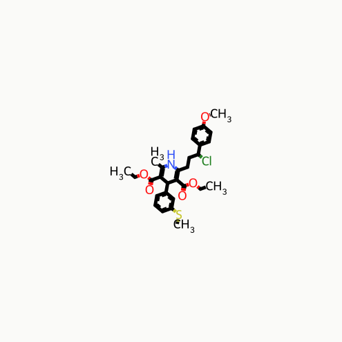 CCOC(=O)C1=C(C)NC(CCC(Cl)c2ccc(OC)cc2)=C(C(=O)OCC)C1c1cccc(SC)c1